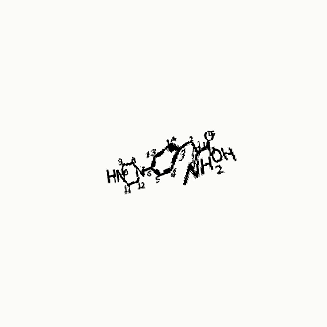 N[C@@H](Cc1ccc(N2CCNCC2)cc1)C(=O)O